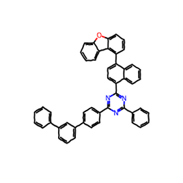 c1ccc(-c2cccc(-c3ccc(-c4nc(-c5ccccc5)nc(-c5ccc(-c6cccc7oc8ccccc8c67)c6ccccc56)n4)cc3)c2)cc1